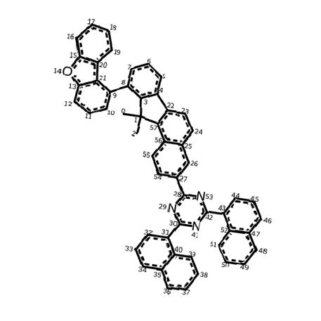 CC1(C)c2c(cccc2-c2cccc3oc4ccccc4c23)-c2ccc3cc(-c4nc(-c5cccc6ccccc56)nc(-c5cccc6ccccc56)n4)ccc3c21